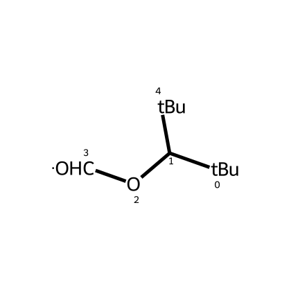 CC(C)(C)C(O[C]=O)C(C)(C)C